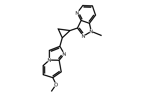 COc1ccn2cc(C3CC3c3nn(C)c4cccnc34)nc2c1